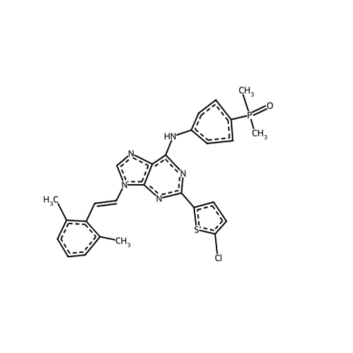 Cc1cccc(C)c1C=Cn1cnc2c(Nc3ccc(P(C)(C)=O)cc3)nc(-c3ccc(Cl)s3)nc21